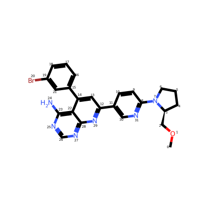 COC[C@@H]1CCCN1c1ccc(-c2cc(-c3cccc(Br)c3)c3c(N)ncnc3n2)cn1